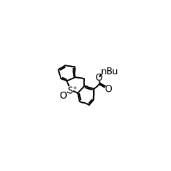 CCCCOC(=O)c1cccc2c1Cc1ccccc1[S+]2[O-]